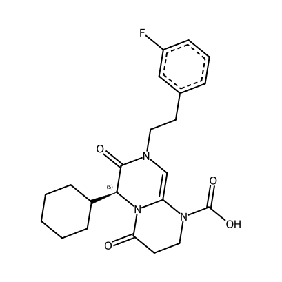 O=C1[C@H](C2CCCCC2)N2C(=O)CCN(C(=O)O)C2=CN1CCc1cccc(F)c1